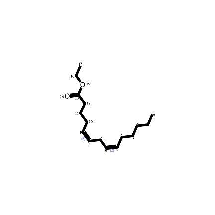 CCCCC/C=C\C/C=C\CCCC(=O)OCC